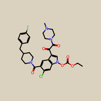 CCOC(=O)On1cc(C(=O)C(=O)N2CCN(C)CC2)c2cc(C(=O)N3CCC(Cc4ccc(F)cc4)CC3)c(Cl)cc21